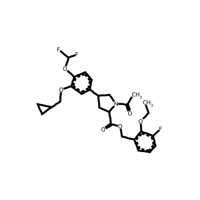 CCOc1c(F)cccc1COC(=O)C1CC(c2ccc(OC(F)F)c(OCC3CC3)c2)CN1C(C)=O